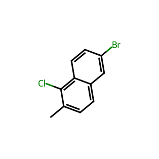 Cc1ccc2cc(Br)ccc2c1Cl